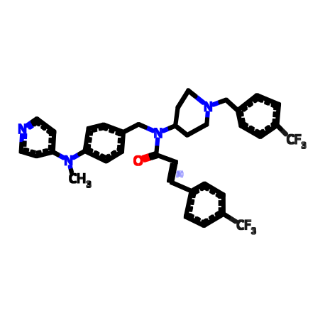 CN(c1ccncc1)c1ccc(CN(C(=O)/C=C/c2ccc(C(F)(F)F)cc2)C2CCN(Cc3ccc(C(F)(F)F)cc3)CC2)cc1